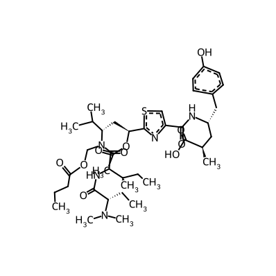 CCCC(=O)OCN(C(=O)C(NC(=O)[C@H](CC)N(C)C)[C@H](C)CC)[C@@H](C[C@H](OC(C)=O)c1nc(C(=O)N[C@H](Cc2ccc(O)cc2)C[C@@H](C)C(=O)O)cs1)C(C)C